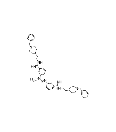 CN(/N=N/c1cccc(C(=N)NCCC2CCN(Cc3ccccc3)CC2)c1)c1cccc(C(=N)NCCC2CCN(Cc3ccccc3)CC2)c1